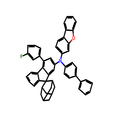 Fc1cccc(-c2cc(N(c3ccc(-c4ccccc4)cc3)c3ccc4c(c3)oc3ccccc34)cc3c2-c2ccccc2C32C3CC4CC(C3)CC2C4)c1